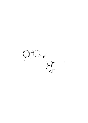 CCOC(=O)c1nn(CC(=O)N2CCC(F)(c3cccc(C)c3C)CC2)c2c1[C@@H]1C[C@@H]1C2